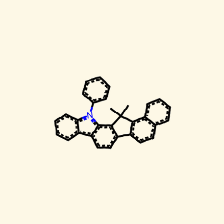 CC1(C)c2c(ccc3ccccc23)-c2ccc3c4ccccc4n(-c4ccccc4)c3c21